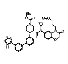 COCCCN1C(=O)COc2ccc(N(C(=O)[C@H]3CN(C(=O)OC(C)(C)C)CC[C@@H]3c3cccc(-c4cccc(-c5nnn[nH]5)c4)c3)C3CC3)cc21